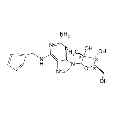 C[C@]1(O)C(n2cnc3c(NCc4ccccc4)nc(N)nc32)O[C@H](CO)[C@H]1O